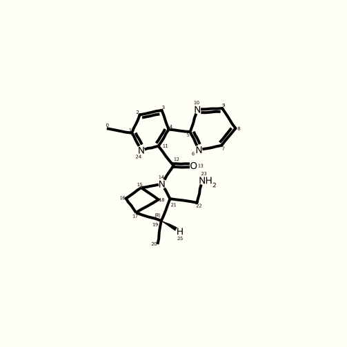 Cc1ccc(-c2ncccn2)c(C(=O)N2C3CC(C3)[C@@H](C)C2CN)n1